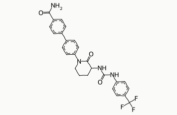 NC(=O)c1ccc(-c2ccc(N3CCCC(NC(=O)Nc4ccc(C(F)(F)F)cc4)C3=O)cc2)cc1